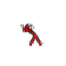 Cc1cccc(C(=O)NCCCC(CCCNC(=O)c2cccc(C)c2C)(CCCNC(=O)c2cccc(C)c2C)C(=O)CCCOCCOCCOCCOCCOCCOCCOCCn2cc(CN(CCC(=O)CCCOCCOCCOCCOCCC(=O)CCCC[n+]3ccccc3)CCC(=O)CCCOCCOCCOCCOCCC(=O)CCCC[n+]3ccccc3)nn2)c1C